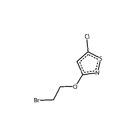 Clc1cc(OCCBr)ns1